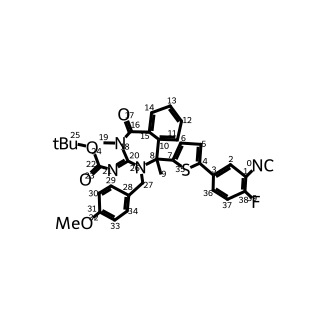 [C-]#[N+]c1cc(-c2ccc(C3(C)c4ccccc4C(=O)N(C)C(=NC(=O)OC(C)(C)C)N3Cc3ccc(OC)cc3)s2)ccc1F